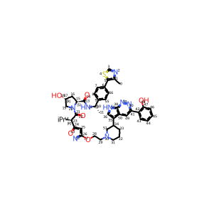 Cc1ncsc1-c1ccc([C@H](C)NC(=O)[C@@H]2C[C@@H](O)CN2C(=O)[C@@H](c2cc(OCCN3CCCC(c4c[nH]c5nnc(-c6ccccc6O)cc45)C3)no2)C(C)C)cc1